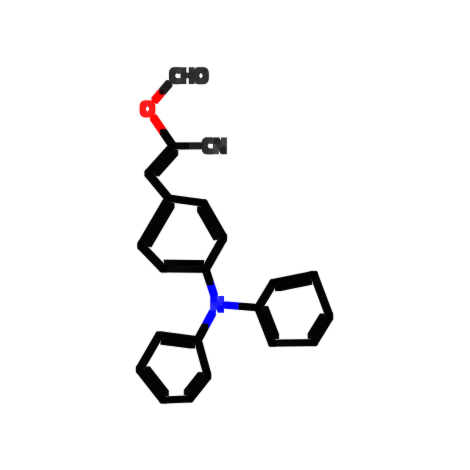 N#C/C(=C\c1ccc(N(c2ccccc2)c2ccccc2)cc1)OC=O